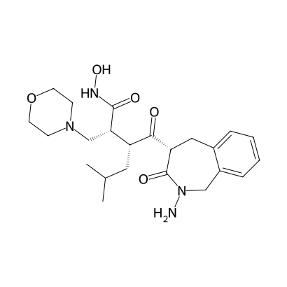 CC(C)C[C@@H](C(=O)[C@@H]1Cc2ccccc2CN(N)C1=O)[C@H](CN1CCOCC1)C(=O)NO